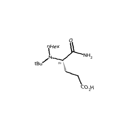 CCCCCCN([C@@H](CCC(=O)O)C(N)=O)C(C)(C)C